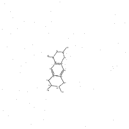 CC1Cc2cc3c(cc2C(C)C1)CC(C)C(C)C3